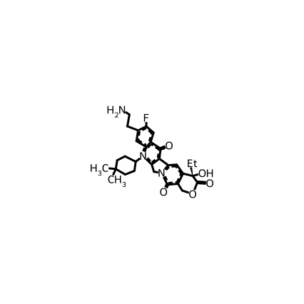 CC[C@@]1(O)C(=O)OCc2c1cc1n(c2=O)Cc2c-1c(=O)c1cc(F)c(CCN)cc1n2C1CCC(C)(C)CC1